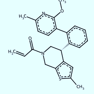 C=CC(=O)N1Cc2sc(C)cc2[C@@H](c2ccccc2-c2ccc(C)nc2OC)C1